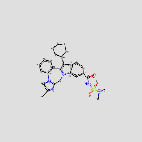 Cc1cn2c(n1)Cn1c(c(C3CCCCC3)c3ccc(C(=O)NS(=O)(=O)N(C)C)cc31)-c1ccccc1-2